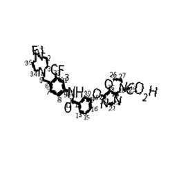 CCN1CCN(Cc2ccc(NC(=O)c3cccc(Oc4ncnc5c4OCCN5C(=O)O)c3)cc2C(F)(F)F)CC1